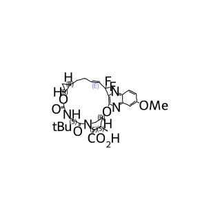 COc1ccc2nc3c(nc2c1)O[C@H]1CN(C(=O)[C@H](C(C)(C)C)NC(=O)O[C@@H]2C[C@H]2CC/C=C/C3(F)F)[C@H](C(=O)O)[C@@H]1C